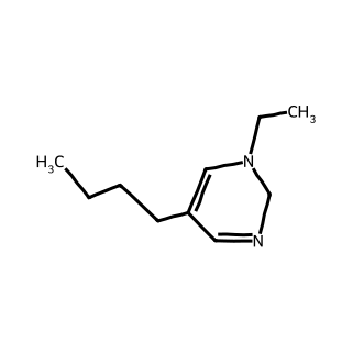 CCCCC1=CN(CC)CN=C1